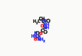 C=C(C)c1cc(NC(=O)Nc2ccc(Oc3ccnc4[nH]c(=O)c(N)nc34)c3ccccc23)n(-c2ccccc2)n1